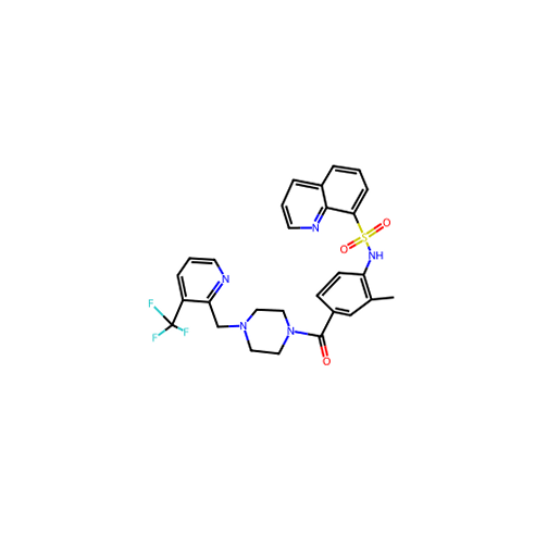 Cc1cc(C(=O)N2CCN(Cc3ncccc3C(F)(F)F)CC2)ccc1NS(=O)(=O)c1cccc2cccnc12